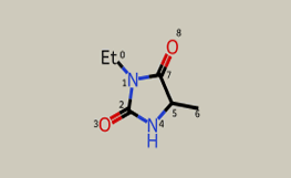 CCN1C(=O)NC(C)C1=O